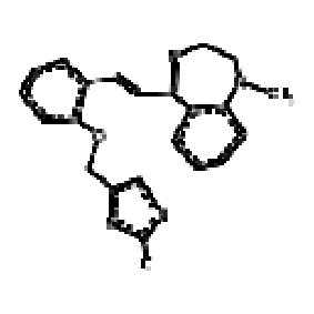 CN1CCN=C(/C=C/c2ccccc2OCc2cnc(Cl)s2)c2ccccc21